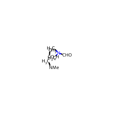 CC(=O)O.CN(C)C=O.CNC